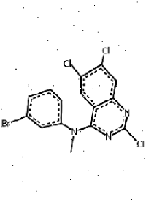 CN(c1cccc(Br)c1)c1nc(Cl)nc2cc(Cl)c(Cl)cc12